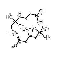 CCC(O)(O)NCCN(O)O.C[N+](C)(C)CC(O)CC(=O)[O-]